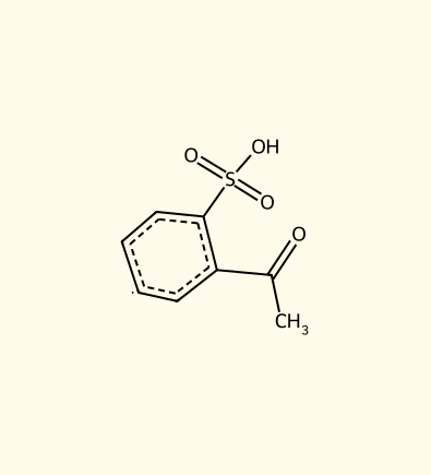 CC(=O)c1c[c]ccc1S(=O)(=O)O